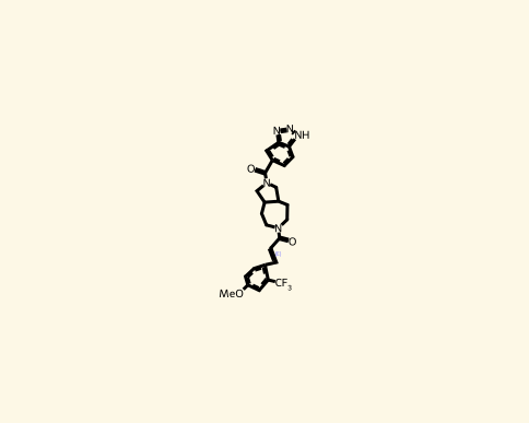 COc1ccc(/C=C/C(=O)N2CCC3CN(C(=O)c4ccc5[nH]nnc5c4)CC3CC2)c(C(F)(F)F)c1